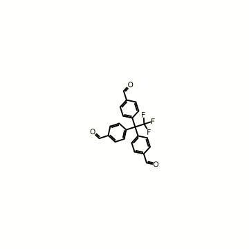 O=Cc1ccc(C(c2ccc(C=O)cc2)(c2ccc(C=O)cc2)C(F)(F)F)cc1